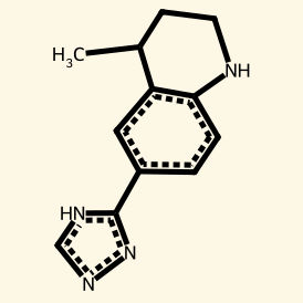 CC1CCNc2ccc(-c3nnc[nH]3)cc21